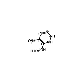 O=CNC1=C([N+](=O)[O-])N=NNN1